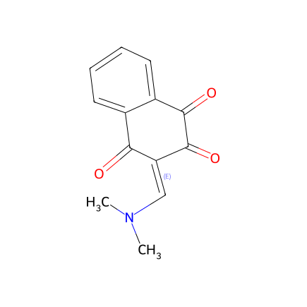 CN(C)/C=C1/C(=O)C(=O)c2ccccc2C1=O